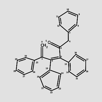 C=C(/C(=C(\C(=O)Cc1ccccc1)c1ccccc1)c1ccccc1)c1ccccc1